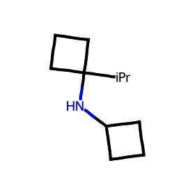 CC(C)C1(NC2CCC2)CCC1